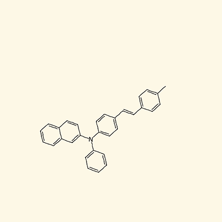 Cc1ccc(/C=C/c2ccc(N(c3ccccc3)c3ccc4ccccc4c3)cc2)cc1